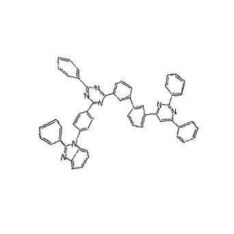 c1ccc(-c2cc(-c3cccc(-c4cccc(-c5nc(-c6ccccc6)nc(-c6ccc(-n7c(-c8ccccc8)nc8ccccc87)cc6)n5)c4)c3)nc(-c3ccccc3)n2)cc1